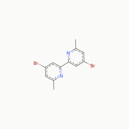 Cc1cc(Br)cc(-c2cc(Br)cc(C)n2)n1